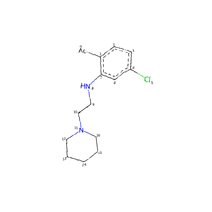 CC(=O)c1ccc(Cl)cc1NCCN1CCCCC1